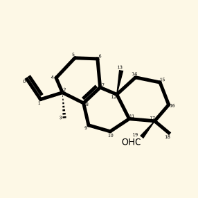 C=C[C@@]1(C)CCCC2=C1CCC1[C@@]2(C)CCC[C@@]1(C)C=O